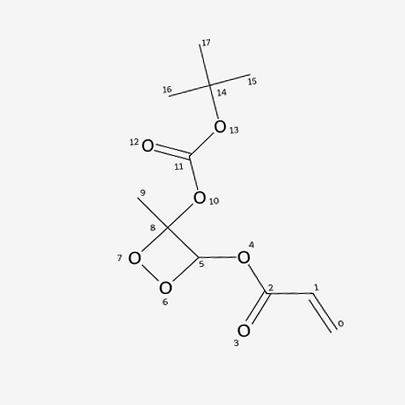 C=CC(=O)OC1OOC1(C)OC(=O)OC(C)(C)C